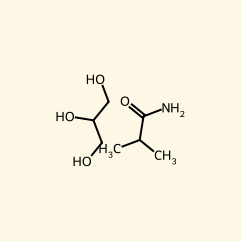 CC(C)C(N)=O.OCC(O)CO